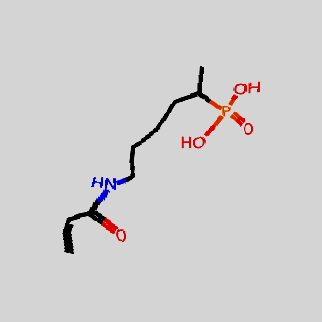 C=CC(=O)NCCCCC(C)P(=O)(O)O